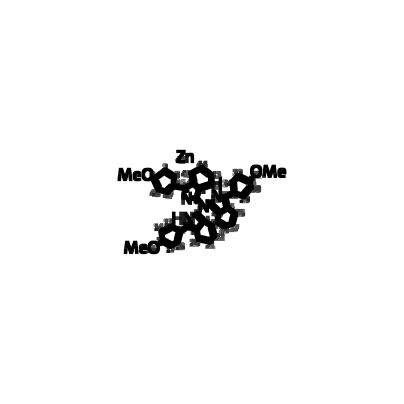 COc1ccc(C2=NC(=[N+](c3[nH]c(-c4ccc(OC)cc4)c4ccccc34)c3[nH]c(-c4ccc(OC)cc4)c4ccccc34)c3ccccc32)cc1.[Zn]